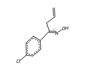 C=CC/C(=N\O)c1ccc(Cl)cc1